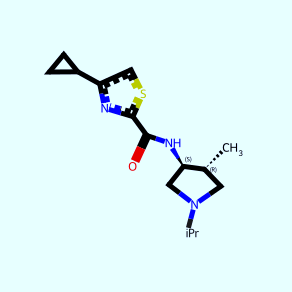 CC(C)N1C[C@@H](C)[C@H](NC(=O)c2nc(C3CC3)cs2)C1